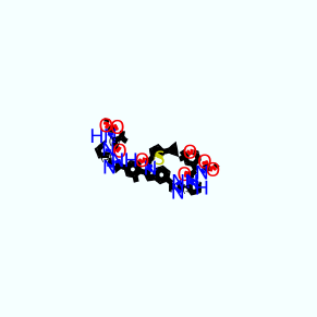 COC(=O)NC(C(=O)N1CCC[C@H]1c1ncc(-c2ccc3c(c2)cc2n3C(c3ccc(C4CC4)s3)Oc3cc(-c4cnc([C@@H]5CCCN5C(=O)[C@@H](NC(=O)OC)C(C)C)[nH]4)cc(C)c3-2)[nH]1)C1CCOC(C)(C)C1